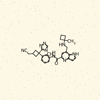 Cn1cnnc1C1(c2cccc(NC(=O)c3cc(CNC4(C)CCC4)c4[nH]ccc4n3)c2)CC(CC#N)C1